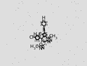 Cc1nnc(C[C@@H]2N=C(c3ccc(Cl)cc3)c3c(sc(C#CC4CCNCC4)c3C)-n3c(C)nnc32)o1